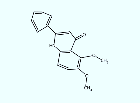 COc1ccc2[nH]c(-c3ccccc3)cc(=O)c2c1OC